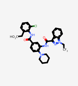 O=C(O)Cc1cccc(Cl)c1NC(=O)c1ccc(N2CCCCC2)c(NC(=O)c2nn(CC(F)(F)F)c3ccccc23)c1